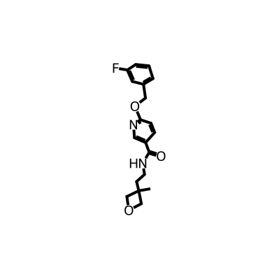 CC1(CCNC(=O)c2ccc(OCc3cccc(F)c3)nc2)COC1